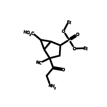 CCOP(=O)(OCC)C1CC(C#N)(C(=O)CN)C2C(C(=O)O)C21